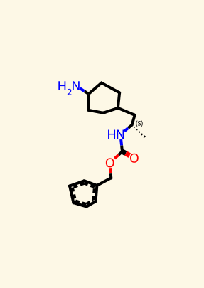 C[C@@H](CC1CCC(N)CC1)NC(=O)OCc1ccccc1